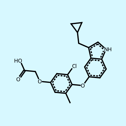 Cc1cc(OCC(=O)O)cc(Cl)c1Oc1ccc2[nH]cc(CC3CC3)c2c1